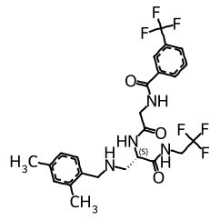 Cc1ccc(CNC[C@H](NC(=O)CNC(=O)c2cccc(C(F)(F)F)c2)C(=O)NCC(F)(F)F)c(C)c1